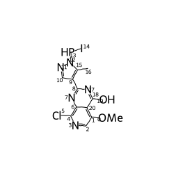 COc1cnc(Cl)c2nc(-c3cnn(PI)c3C)nc(O)c12